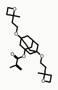 C=C(C)C(=O)OC12CC3CC(OCCC4(C)CCO4)(CC(OCCC4(C)CCO4)(C3)C1)C2